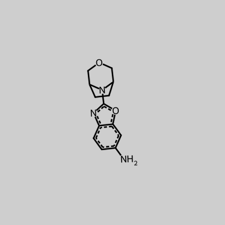 Nc1ccc2nc(N3C4CCC3COC4)oc2c1